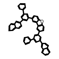 c1ccc(-c2cc(-c3ccc4ccccc4c3)cc(-c3ccc4oc5ccc(-c6cc(-c7ccccc7)cc(-c7ccc8ccccc8c7)c6)cc5c4c3)c2)cc1